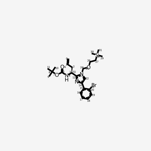 C=CC[C@H](NC(=O)OC(C)(C)C)c1nc(-c2ccccc2Br)cn1COCC[Si](C)(C)C